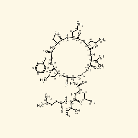 CC(C)C[C@@H]1NC(=O)[C@@H](Cc2ccccc2)NC(=O)[C@H](CCN)NC(=O)[C@@H](NC(=O)[C@H](CCN)NC(=O)[C@@H](NC(=O)CC[C@H](C)N)C(C)O)CCNC(=O)[C@H](C(C)O)NC(=O)[C@H](CCN)NC(=O)[C@H](CCN)NC1=O